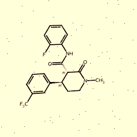 CN1CC[C@@H](c2cccc(C(F)(F)F)c2)[C@H](C(=O)Nc2ccccc2F)C1=O